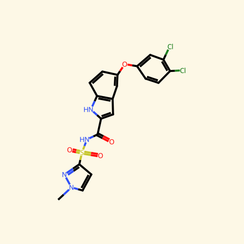 Cn1ccc(S(=O)(=O)NC(=O)c2cc3cc(Oc4ccc(Cl)c(Cl)c4)ccc3[nH]2)n1